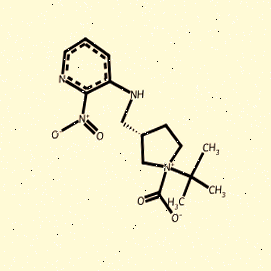 CC(C)(C)[N+]1(C(=O)[O-])CC[C@@H](CNc2cccnc2[N+](=O)[O-])C1